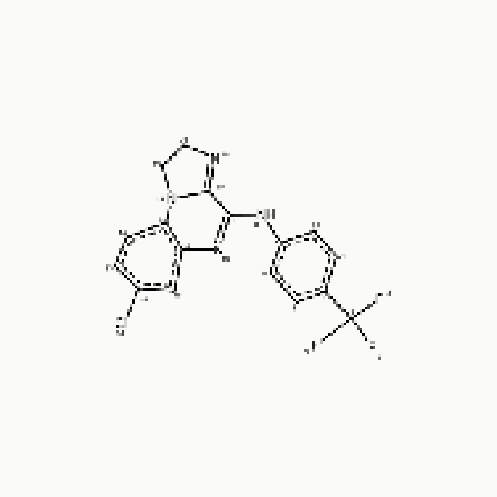 FC(F)(F)c1ccc(NC2=Nc3cc(Cl)ccc3N3CCN=C23)cc1